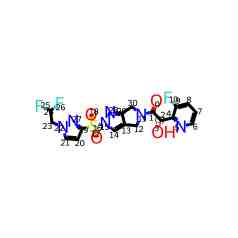 O=C([C@@H](O)c1ncccc1F)N1Cc2cn(S(=O)(=O)c3ccn(CC(F)F)n3)nc2C1